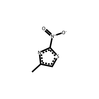 Cc1csc([N+](=O)[O-])n1